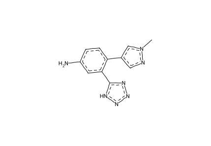 Cn1cc(-c2ccc(N)cc2-c2nnn[nH]2)cn1